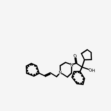 O=C(N1CCN(C/C=C/c2ccccc2)CC1)C(O)(c1ccccc1)C1CCCC1